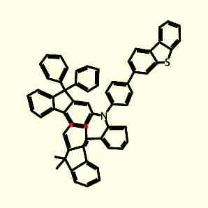 CC1(C)c2ccccc2-c2c(-c3ccccc3N(c3ccc(-c4ccc5c(c4)sc4ccccc45)cc3)c3ccc4c(c3)C(c3ccccc3)(c3ccccc3)c3ccccc3-4)cccc21